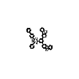 c1ccc(-c2ccc(-c3nc(-c4ccccc4)nc(-c4cc(-c5ccc6oc7ccccc7c6c5)cc(-c5ccc6oc7ccccc7c6c5)c4)n3)cc2)cc1